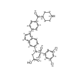 O=C(O)CN(c1ccc2c(ccn2-c2ccc(C(=O)N3CCNCC3)cc2)c1)S(=O)(=O)c1cc(Cl)cc(Cl)c1